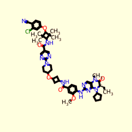 CC[C@@H]1C(=O)N(C)c2cnc(Nc3ccc(C(=O)NC4CC(OC5CCN(c6ncc(C(=O)NC7C(C)(C)C(Oc8ccc(C#N)c(Cl)c8)C7(C)C)cn6)CC5)C4)cc3OC)nc2N1C1CCCC1